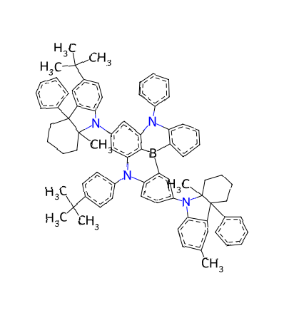 Cc1ccc2c(c1)C1(c3ccccc3)CCCCC1(C)N2c1ccc2c(c1)B1c3ccccc3N(c3ccccc3)c3cc(N4c5ccc(C(C)(C)C)cc5C5(c6ccccc6)CCCCC45C)cc(c31)N2c1ccc(C(C)(C)C)cc1